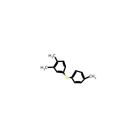 Cc1ccc(Sc2ccc(C)c(C)c2)cc1